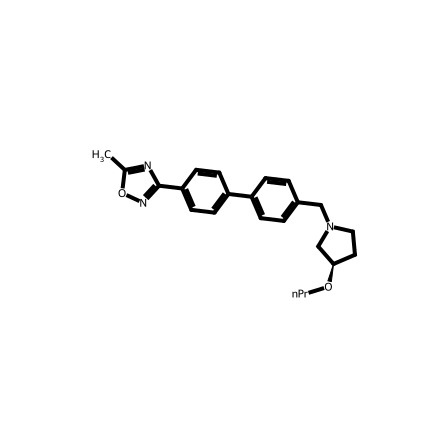 CCCO[C@@H]1CCN(Cc2ccc(-c3ccc(-c4noc(C)n4)cc3)cc2)C1